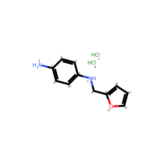 Cl.Cl.Nc1ccc(NCc2ccco2)cc1